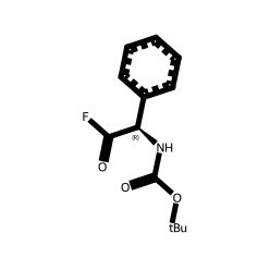 CC(C)(C)OC(=O)N[C@@H](C(=O)F)c1ccccc1